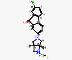 CN1C[C@@H]2CN(c3ccc4c(c3)C(=O)c3cc(Br)ccc3-4)C[C@@H]21